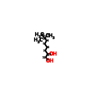 C[Si](C)(C)CCCCC(O)CO